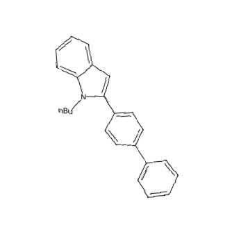 CCCCn1c(-c2ccc(-c3ccccc3)cc2)cc2ccccc21